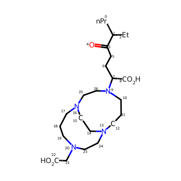 CCCC(CC)C(=O)CCC(C(=O)O)N1CCCN2CCN(CCCN(CC(=O)O)CC2)CC1